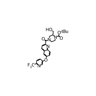 CC(C)(C)OC(=O)N1CCN(C(=O)c2ccc3cc(Oc4ccc(C(F)(F)F)nc4)ccc3n2)CC1CO